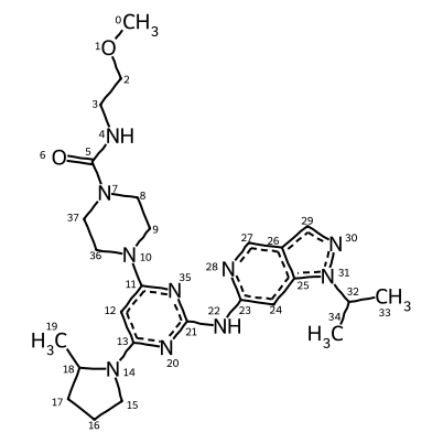 COCCNC(=O)N1CCN(c2cc(N3CCCC3C)nc(Nc3cc4c(cn3)cnn4C(C)C)n2)CC1